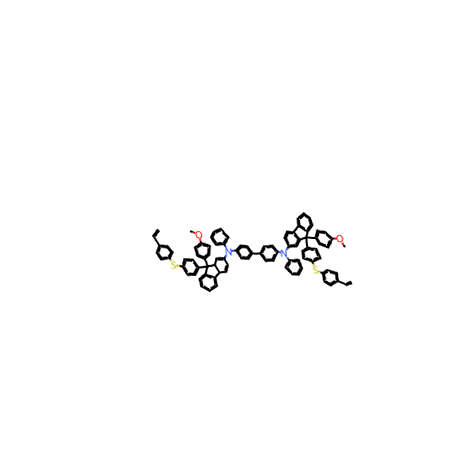 C=Cc1ccc(Sc2ccc(C3(c4ccc(OC)cc4)c4ccccc4-c4ccc(N(c5ccccc5)c5ccc(-c6ccc(N(C7=CC8C(C=C7)c7ccccc7C8(c7ccc(OC)cc7)c7ccc(Sc8ccc(C=C)cc8)cc7)c7ccccc7)cc6)cc5)cc43)cc2)cc1